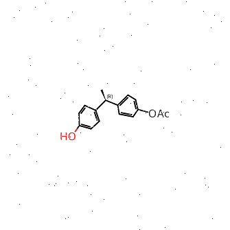 CC(=O)Oc1ccc([C@H](C)c2ccc(O)cc2)cc1